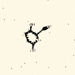 N#Cc1nc(S)ccc1S